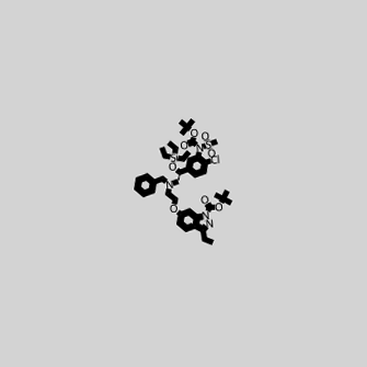 CCc1nn(C(=O)OC(C)(C)C)c2cc(OCCN(Cc3ccccc3)C[C@H](O[Si](CC)(CC)CC)c3ccc(Cl)c(N(C(=O)OC(C)(C)C)S(C)(=O)=O)c3)ccc12